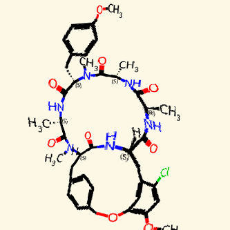 COc1ccc(C[C@H]2C(=O)N[C@@H](C)C(=O)N(C)[C@H]3Cc4ccc(cc4)Oc4cc(c(Cl)cc4OC)C[C@H](NC3=O)C(=O)N[C@H](C)C(=O)N[C@@H](C)C(=O)N2C)cc1